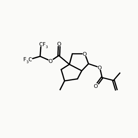 C=C(C)C(=O)OC1OCC2(C(=O)OC(C(F)(F)F)C(F)(F)F)CC(C)CC12